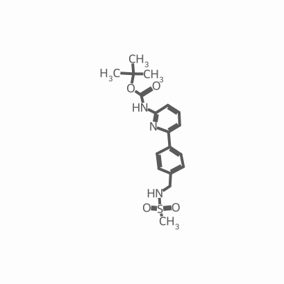 CC(C)(C)OC(=O)Nc1cccc(-c2ccc(CNS(C)(=O)=O)cc2)n1